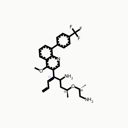 C=C/C=C(/c1cnc2c(-c3ccc(C(F)(F)F)cc3)cccc2c1OC)C(N)C[C@H](C)O[C@H](C)CN